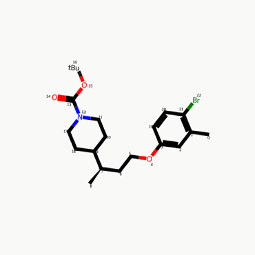 Cc1cc(OCC[C@@H](C)C2CCN(C(=O)OC(C)(C)C)CC2)ccc1Br